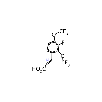 O=C(O)/C=C/c1ccc(OC(F)(F)F)c(F)c1OC(F)(F)F